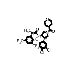 CN(C(=O)N(C)[C@@H]1CN(C(=O)C2CCOCC2)C[C@H]1c1ccc(Cl)c(Cl)c1)c1cc(C(F)(F)F)cc(C(F)(F)F)c1